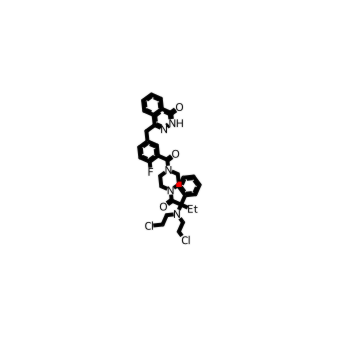 CCC(C(=O)N1CCN(C(=O)c2cc(Cc3n[nH]c(=O)c4ccccc34)ccc2F)CC1)(c1ccccc1)N(CCCl)CCCl